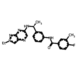 CCn1cc2ncc(N[C@@H](C)c3cccc(NC(=O)c4ccc(F)c(C)c4)c3)nc2n1